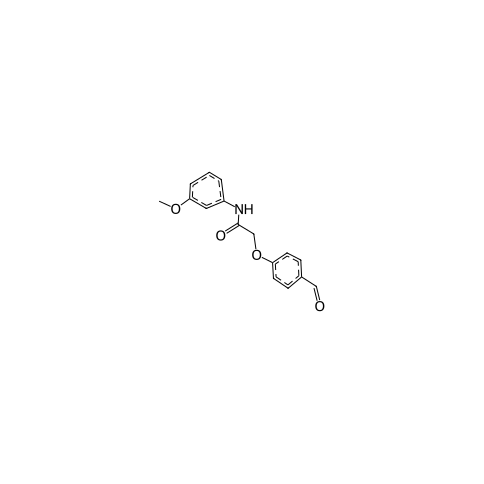 COc1cccc(NC(=O)COc2ccc(C=O)cc2)c1